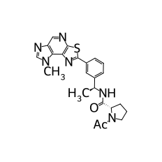 CC(=O)N1CCC[C@H]1C(=O)N[C@@H](C)c1cccc(-c2nc3c(ncc4ncn(C)c43)s2)c1